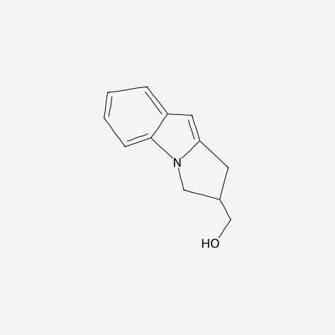 OCC1Cc2cc3ccccc3n2C1